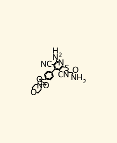 N#Cc1c(N)nc(SCC(N)=O)c(C#N)c1-c1ccc(S(=O)(=O)N2CCOCC2)cc1